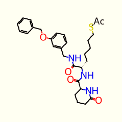 CC(=O)SCCCCC[C@H](NC(=O)[C@@H]1CCCC(=O)N1)C(=O)NCc1cccc(OCc2ccccc2)c1